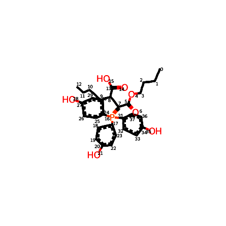 CCCCOC(=O)C(C(CCCC)C(=O)O)=P(c1ccc(O)cc1)(c1ccc(O)cc1)c1ccc(O)cc1